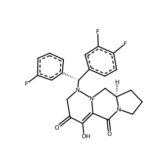 O=C1CN([C@H](c2cccc(F)c2)c2ccc(F)c(F)c2)N2C[C@H]3CCCN3C(=O)C2=C1O